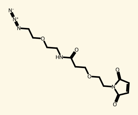 [N-]=[N+]=NCCOCCNC(=O)CCOCCN1C(=O)C=CC1=O